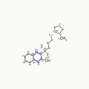 CC1CCC[C@H]1CCCCC(F)(F)c1nc2ccccc2nc1O